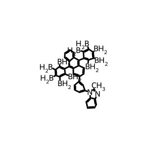 Bc1c(B)c(B)c(-c2c3ccccc3c(-c3c(B)c(B)c(B)c(B)c3B)c3cc(-c4cccc(-n5c(C)nc6ccccc65)c4)ccc23)c(B)c1B